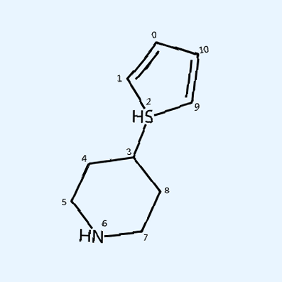 C1=C[SH](C2CCNCC2)C=C1